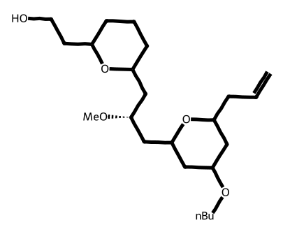 C=CCC1CC(OCCCC)CC(C[C@@H](CC2CCCC(CCO)O2)OC)O1